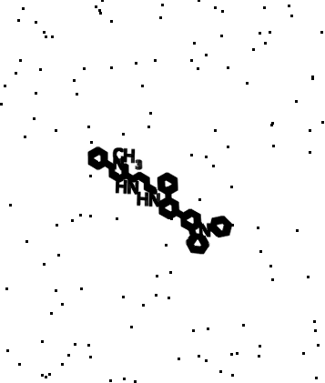 CN1C=C(C(=N)/C=C\C=C\Nc2ccc(-c3ccc4c(c3)c3ccccc3n4-c3ccccc3)cc2-c2ccccc2)C=CC1c1ccccc1